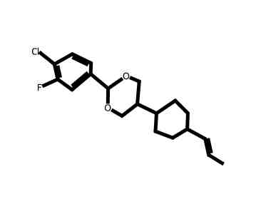 CC=CC1CCC(C2COC(c3ccc(Cl)c(F)c3)OC2)CC1